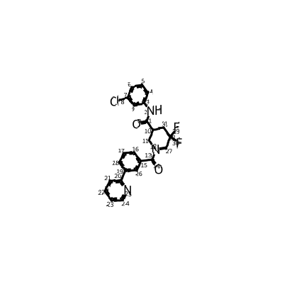 O=C(Nc1cccc(Cl)c1)C1CN(C(=O)c2cccc(-c3ccccn3)c2)CC(F)(F)C1